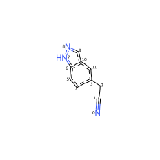 N#CCc1ccc2[nH]ncc2c1